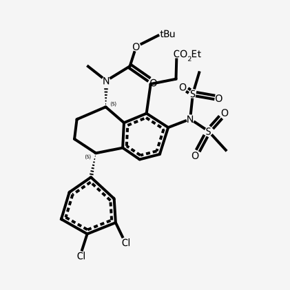 CCOC(=O)CCc1c(N(S(C)(=O)=O)S(C)(=O)=O)ccc2c1[C@@H](N(C)C(=O)OC(C)(C)C)CC[C@H]2c1ccc(Cl)c(Cl)c1